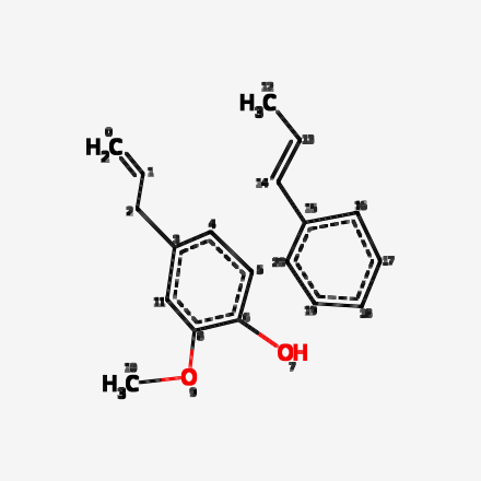 C=CCc1ccc(O)c(OC)c1.CC=Cc1ccccc1